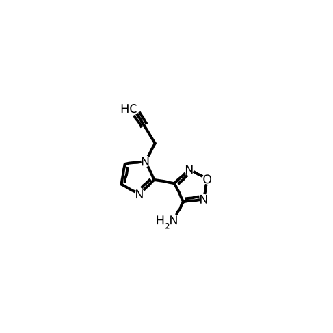 C#CCn1ccnc1-c1nonc1N